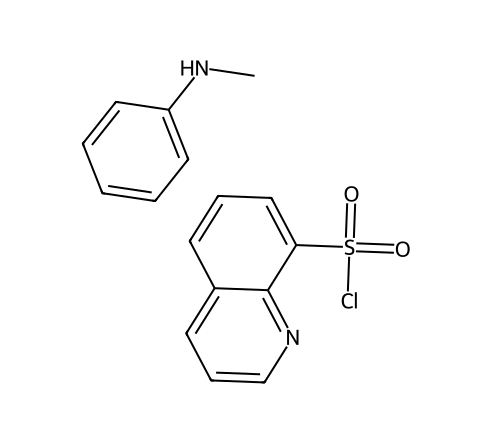 CNc1ccccc1.O=S(=O)(Cl)c1cccc2cccnc12